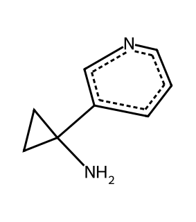 NC1(c2cccnc2)CC1